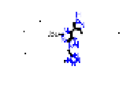 Cc1n[nH]cc1-c1nc(C(C)(C)C)nc2c1nnn2Cc1nnnn1C